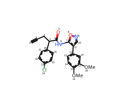 C#CCC(C(=O)Nc1oncc1-c1ccc(OC)c(OC)c1)c1ccc(Cl)cc1